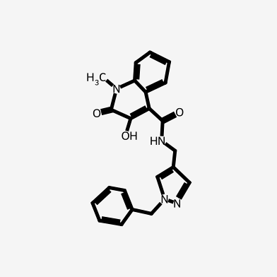 Cn1c(=O)c(O)c(C(=O)NCc2cnn(Cc3ccccc3)c2)c2ccccc21